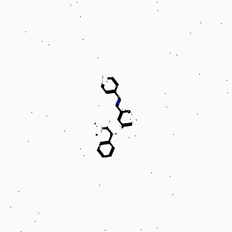 C[C@@H]([C@@H](Oc1cncc(/C=C/c2ccncc2)c1)c1ccccc1)N(C)C